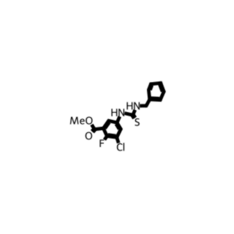 COC(=O)c1cc(NC(=S)NCc2ccccc2)cc(Cl)c1F